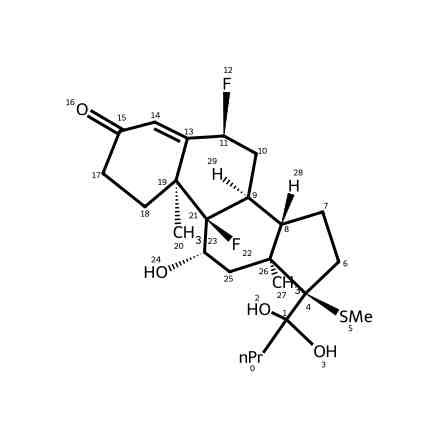 CCCC(O)(O)[C@@]1(SC)CC[C@H]2[C@@H]3C[C@H](F)C4=CC(=O)CC[C@]4(C)[C@@]3(F)[C@@H](O)C[C@@]21C